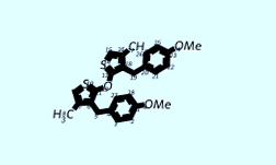 COc1ccc(Cc2c(C)csc2Oc2scc(C)c2Cc2ccc(OC)cc2)cc1